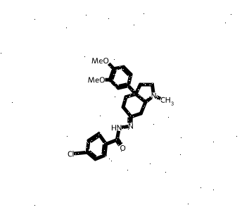 COc1ccc(C23CC/C(=N\NC(=O)c4ccc(Cl)cc4)CC2N(C)CC3)cc1OC